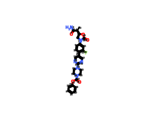 C[C@H](C(N)=O)C1CN(c2ccc(-c3cnc(N4CCN(C(=O)Oc5ccccc5)CC4)nc3)c(F)c2)C(=O)O1